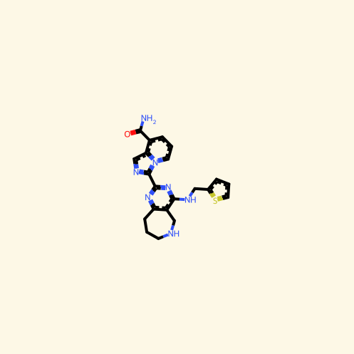 NC(=O)c1cccn2c(-c3nc4c(c(NCc5cccs5)n3)CNCCC4)ncc12